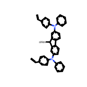 C=Cc1ccc(N(c2ccccc2)c2ccc3c(c2)C(CCCCCC)c2cc(N(c4ccccc4)c4ccc(C=C)cc4)ccc2-3)cc1